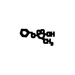 C=C(CC(=O)OCc1ccccc1)C(=O)O